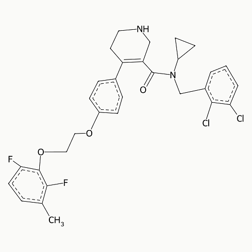 Cc1ccc(F)c(OCCOc2ccc(C3=C(C(=O)N(Cc4cccc(Cl)c4Cl)C4CC4)CNCC3)cc2)c1F